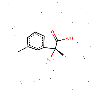 Cc1cccc([C@@](C)(O)C(=O)O)c1